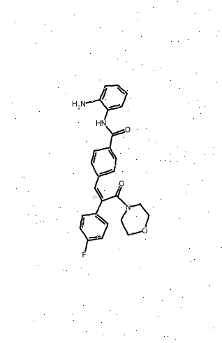 Nc1ccccc1NC(=O)c1ccc(/C=C(\C(=O)N2CCOCC2)c2ccc(F)cc2)cc1